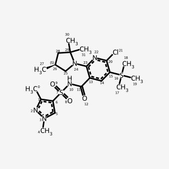 Cc1nn(C)cc1S(=O)(=O)NC(=O)c1cc(S(C)(C)C)c(Cl)nc1N1C[C@@H](C)CC1(C)C